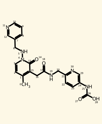 Cc1ccn(NCc2cccnc2)c(=O)c1CC(=O)NCc1ccc(NC(=O)O)cn1